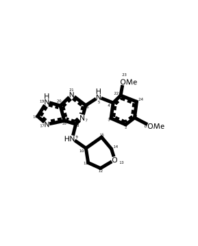 COc1ccc(Nc2nc(NC3CCOCC3)c3nc[nH]c3n2)c(OC)c1